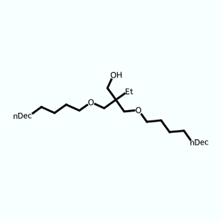 CCCCCCCCCCCCCCOCC(CC)(CO)COCCCCCCCCCCCCCC